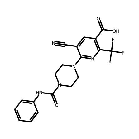 N#Cc1cc(C(=O)O)c(C(F)(F)F)nc1N1CCN(C(=O)Nc2ccccc2)CC1